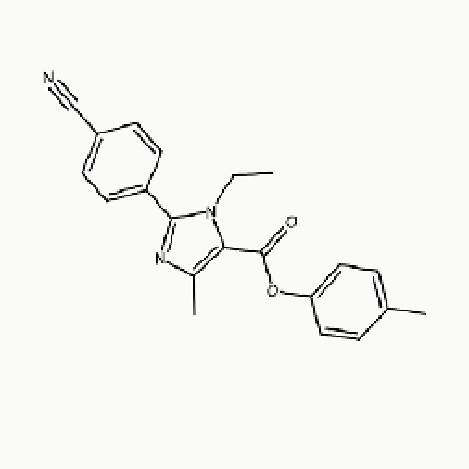 CCn1c(-c2ccc(C#N)cc2)nc(C)c1C(=O)Oc1ccc(C)cc1